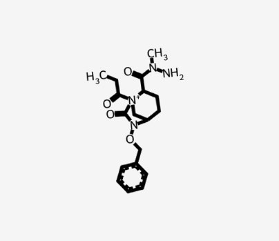 CCC(=O)[N+]12CC(CCC1C(=O)N(C)N)N(OCc1ccccc1)C2=O